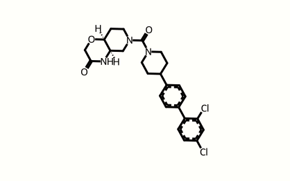 O=C1CO[C@H]2CCN(C(=O)N3CCC(c4ccc(-c5ccc(Cl)cc5Cl)cc4)CC3)C[C@H]2N1